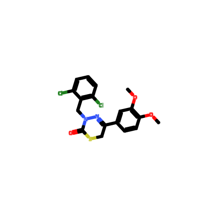 COc1ccc(C2=NN(Cc3c(Cl)cccc3Cl)C(=O)SC2)cc1OC